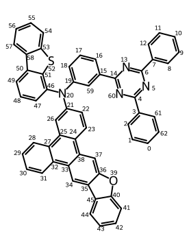 c1ccc(-c2nc(-c3ccccc3)nc(-c3cccc(N(c4ccc5c(c4)c4ccccc4c4cc6c(cc54)oc4ccccc46)c4cccc5c4sc4ccccc45)c3)n2)cc1